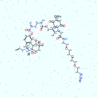 C=CCN1CC[C@]23c4c5ccc(OC(=O)N(C)CCN(C)C(=O)OCc6c7c(n(CC(=O)NCCOCCOCCOCCN=[N+]=[N-])c6C)C(=O)C=C(OC)C7=O)c4O[C@H]2C(=O)CC[C@@]3(O)[C@H]1C5